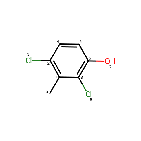 Cc1c(Cl)ccc(O)c1Cl